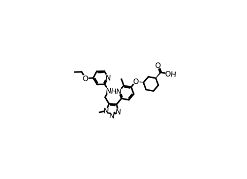 CCOc1ccnc(NCc2c(-c3ccc(O[C@H]4CCC[C@H](C(=O)O)C4)c(C)n3)nnn2C)c1